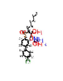 CCCCCCC(C(=O)O)[S+]([O-])c1ccc(-c2ccc(Cl)cc2)cc1.NO